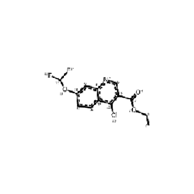 CCOC(=O)c1cnc2cc(OC(F)F)ccc2c1Cl